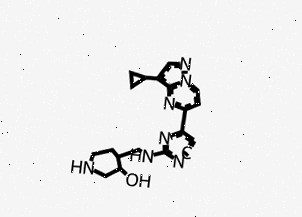 OC1CNCCC1CNc1nccc(-c2ccn3ncc(C4CC4)c3n2)n1